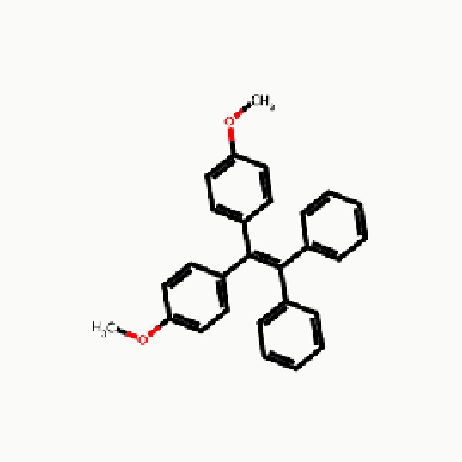 COc1ccc(C(=C(c2ccccc2)c2ccccc2)c2ccc(OC)cc2)cc1